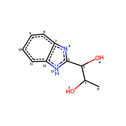 CC(O)C(O)c1nc2ccccc2[nH]1